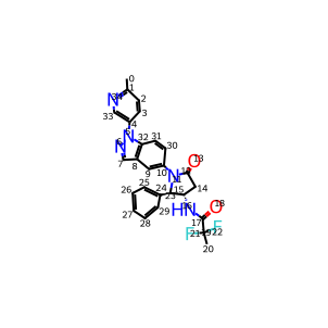 Cc1ccc(-n2ncc3cc(N4C(=O)C[C@H](NC(=O)C(C)(F)F)[C@H]4c4ccccc4)ccc32)cn1